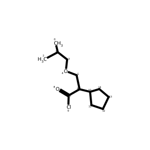 CC(C)COCC(C(=O)Cl)C1CCCC1